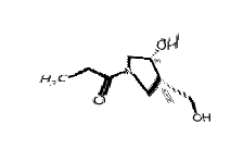 CCC(=O)N1C[C@@H](CO)[C@@H](O)C1